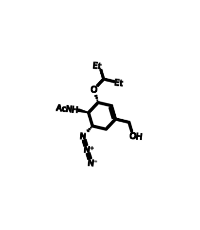 CCC(CC)O[C@@H]1C=C(CO)C[C@H](N=[N+]=[N-])[C@H]1NC(C)=O